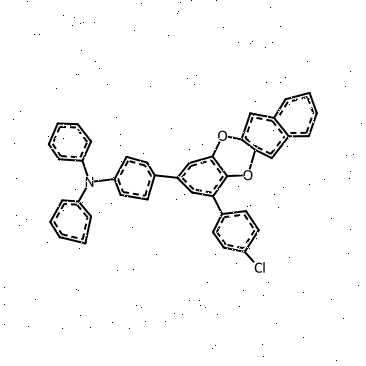 Clc1ccc(-c2cc(-c3ccc(N(c4ccccc4)c4ccccc4)cc3)cc3c2Oc2cc4ccccc4cc2O3)cc1